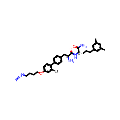 CCc1cc(OCCCCN=[N+]=[N-])ccc1-c1ccc(C[C@H](N)C(=O)N[C@@H](CCCc2cc(C)cc(C)c2)C(N)=O)cc1